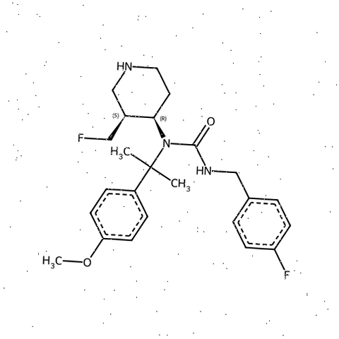 COc1ccc(C(C)(C)N(C(=O)NCc2ccc(F)cc2)[C@@H]2CCNC[C@@H]2CF)cc1